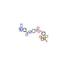 CS(=O)(=O)c1cc(COC(=O)N2CCC3(CC2)CN(C(=O)c2ccc4[nH]nnc4c2)C3)ccc1Cl